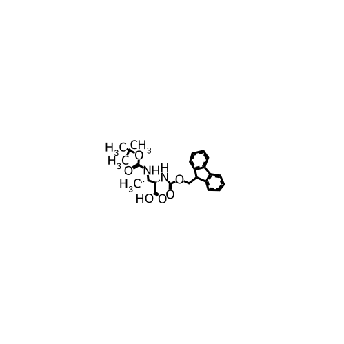 C[C@H](NC(=O)OC(C)(C)C)[C@H](NC(=O)OCC1c2ccccc2-c2ccccc21)C(=O)O